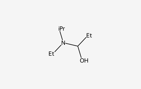 CCC(O)N(CC)C(C)C